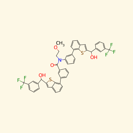 COCCN(C(=O)c1cccc(-c2cccc3cc(C(O)c4cccc(C(F)(F)F)c4)sc23)c1)c1cccc(-c2cccc3cc(C(O)c4cccc(C(F)(F)F)c4)sc23)c1